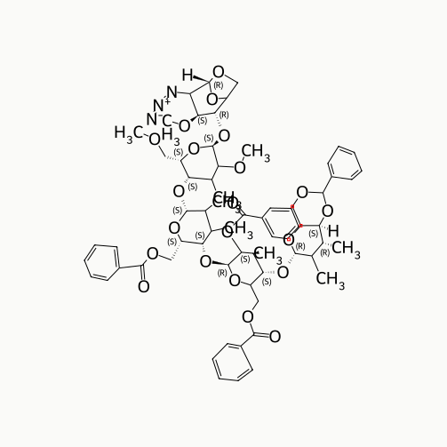 COC[C@@H]1O[C@@H](O[C@H]2C3CO[C@H](O3)C(N=[N+]=[N-])[C@@H]2OC)C(OC)C(C)[C@@H]1O[C@H]1O[C@@H](COC(=O)c2ccccc2)[C@@H](O[C@@H]2OC(COC(=O)c3ccccc3)[C@@H](O[C@@H]3OC4COC(c5ccccc5)O[C@H]4[C@H](C)C3C)[C@H](C)C2OC(=O)c2ccccc2)C(C)C1C